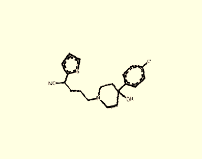 N#CC(CCCN1CCC(O)(c2ccc(Cl)cc2)CC1)c1cccs1